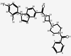 O=C(c1ccccc1)N1CCN(C2CN(C(=O)c3ccc4c(ccn4-c4ccc(F)cc4F)c3)C2)CC1